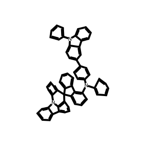 c1ccc(N(c2ccc(-c3ccc4c(c3)c3ccccc3n4-c3ccccc3)cc2)c2cccc3c2-c2ccccc2C32c3ccccc3-n3c4ccccc4c4cccc2c43)cc1